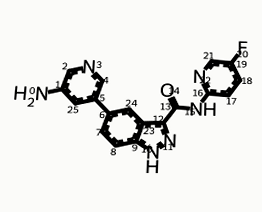 Nc1cncc(-c2ccc3[nH]nc(C(=O)Nc4ccc(F)cn4)c3c2)c1